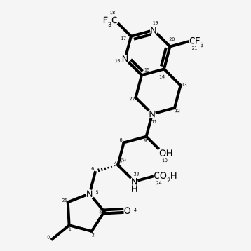 CC1CC(=O)N(C[C@H](CC(O)N2CCc3c(nc(C(F)(F)F)nc3C(F)(F)F)C2)NC(=O)O)C1